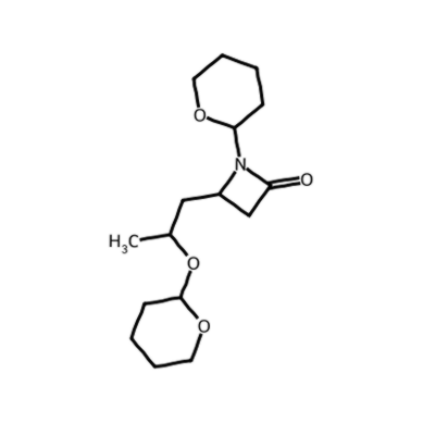 CC(CC1CC(=O)N1C1CCCCO1)OC1CCCCO1